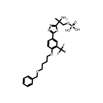 CC(N)(COP(=O)(O)O)c1nnc(-c2ccc(OCCCCOCc3ccccc3)c(C(F)(F)F)c2)s1